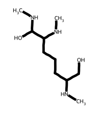 CNC(CO)CCCC(NC)C(O)NC